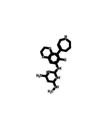 CNC1CC(C)NC(Nc2cc3c(c(C4=CCNCCC4)c2Cl)OCCO3)N1